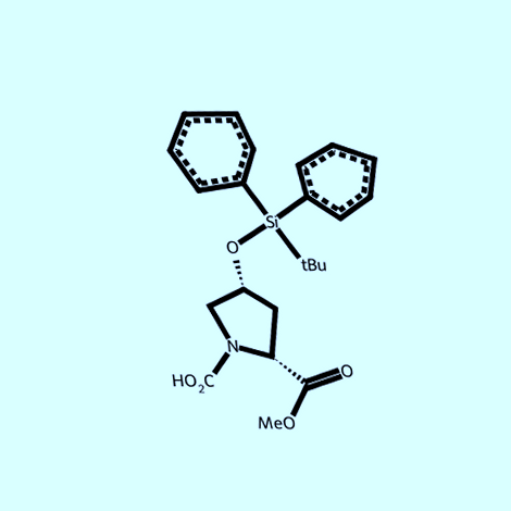 COC(=O)[C@H]1C[C@@H](O[Si](c2ccccc2)(c2ccccc2)C(C)(C)C)CN1C(=O)O